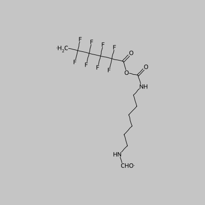 [CH2]C(F)(F)C(F)(F)C(F)(F)C(F)(F)C(=O)OC(=O)NCCCCCCN[C]=O